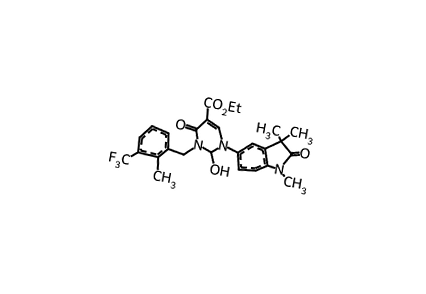 CCOC(=O)C1=CN(c2ccc3c(c2)C(C)(C)C(=O)N3C)C(O)N(Cc2cccc(C(F)(F)F)c2C)C1=O